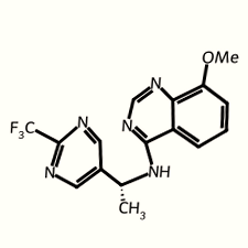 COc1cccc2c(N[C@H](C)c3cnc(C(F)(F)F)nc3)ncnc12